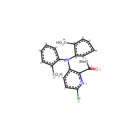 COC(=O)c1nc(Br)ccc1N(c1ccccc1C(=O)O)c1ccccc1C(=O)O